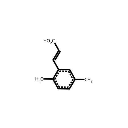 Cc1ccc(C)c(C=CC(=O)O)c1